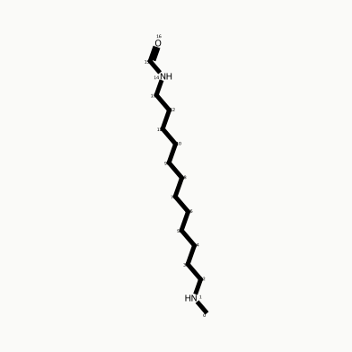 CNCCCCCCCCCCCCNC=O